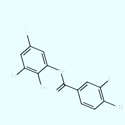 CCc1cc(F)cc(NC(=O)c2ccc(C#N)c(F)c2)c1C